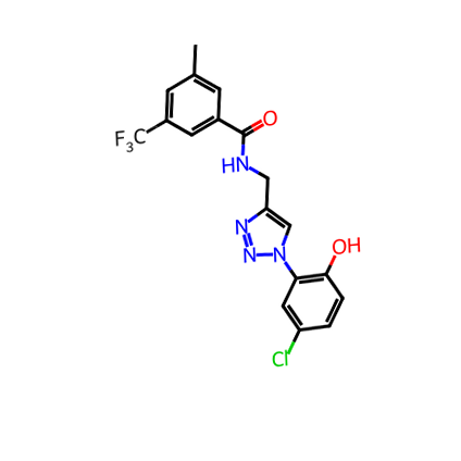 Cc1cc(C(=O)NCc2cn(-c3cc(Cl)ccc3O)nn2)cc(C(F)(F)F)c1